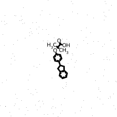 CC(C)(Oc1ccc(C2Cc3ccccc3C2)cc1)C(=O)O